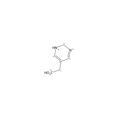 O=C(O)CC1=CNCN=C1